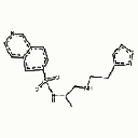 CC(CNCCc1ccsc1)NS(=O)(=O)c1ccc2cnccc2c1